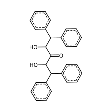 O=C(C(O)C(c1ccccc1)c1ccccc1)C(O)C(c1ccccc1)c1ccccc1